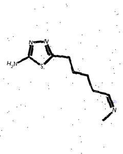 C/N=C\CCCCc1nnc(N)s1